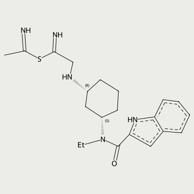 CCN(C(=O)c1cc2ccccc2[nH]1)[C@H]1CCC[C@@H](NCC(=N)SC(C)=N)C1